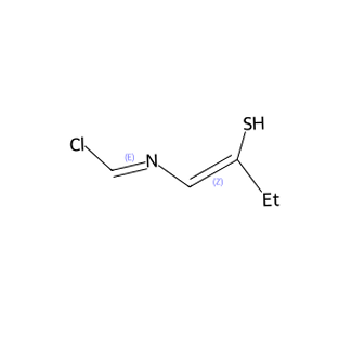 CC/C(S)=C/N=C/Cl